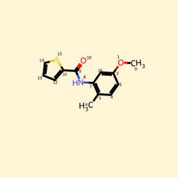 COc1ccc(C)c(NC(=O)c2cccs2)c1